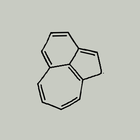 [CH]1C=c2cccc3c2=C1C=CC=C3